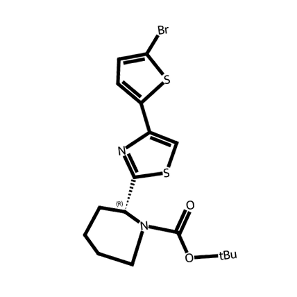 CC(C)(C)OC(=O)N1CCCC[C@@H]1c1nc(-c2ccc(Br)s2)cs1